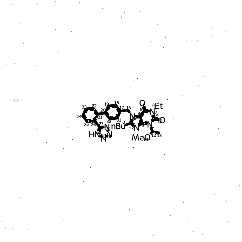 CCCCc1nc2c(c(=O)n(CC)c(=O)n2C(C)OC)n1Cc1ccc(-c2ccccc2-c2nnn[nH]2)cc1